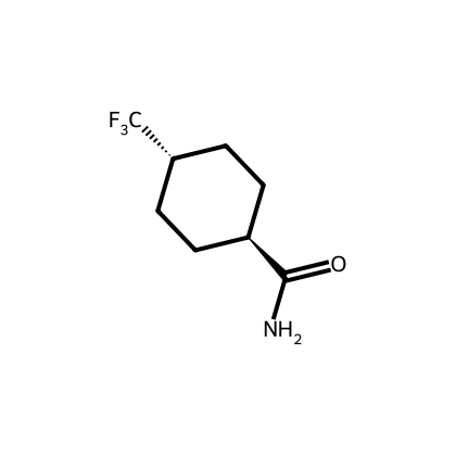 NC(=O)[C@H]1CC[C@H](C(F)(F)F)CC1